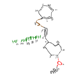 CCCCOC1CCC(C#CSc2ccccc2)CC1.F.F.F.F.F